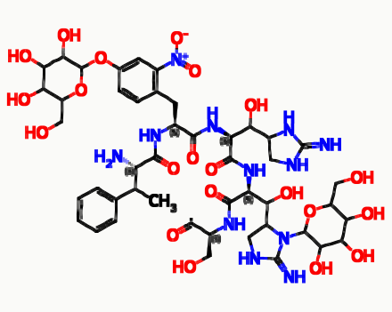 CC(c1ccccc1)[C@H](N)C(=O)N[C@@H](Cc1ccc(OC2OC(CO)C(O)C(O)C2O)cc1[N+](=O)[O-])C(=O)N[C@H](C(=O)N[C@H](C(=O)N[C@H]([C]=O)CO)C(O)C1CNC(=N)N1C1OC(CO)C(O)C(O)C1O)C(O)C1CNC(=N)N1